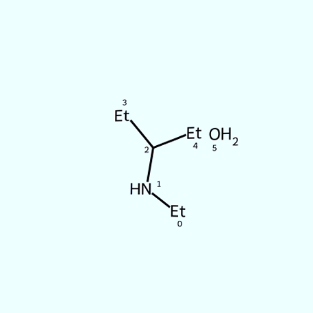 CCNC(CC)CC.O